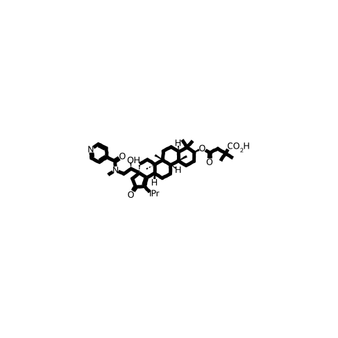 CC(C)C1=C2[C@H]3CC[C@@H]4[C@@]5(C)CC[C@H](OC(=O)CC(C)(C)C(=O)O)C(C)(C)[C@@H]5CC[C@@]4(C)[C@]3(C)CC[C@@]2([C@@H](O)CN(C)C(=O)c2ccncc2)CC1=O